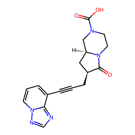 O=C(O)N1CCN2C(=O)[C@@H](CC#Cc3cccn4ncnc34)C[C@H]2C1